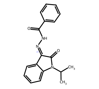 CC(C)N1C(=O)/C(=N\NC(=O)c2ccccc2)c2ccccc21